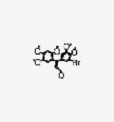 COc1cc(OC)c(C(=CC=O)c2cc(Br)c(OC)c(OC)c2)cc1OC